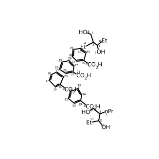 CCC(O)C(CC)CO.CCCC(CO)C(O)CC.O=C(O)c1ccccc1.O=C(O)c1ccccc1.O=C(O)c1ccccc1.O=C(O)c1ccccc1